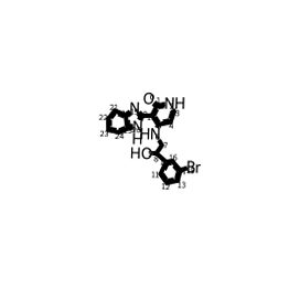 O=c1[nH]ccc(NCC(O)c2cccc(Br)c2)c1-c1nc2ccccc2[nH]1